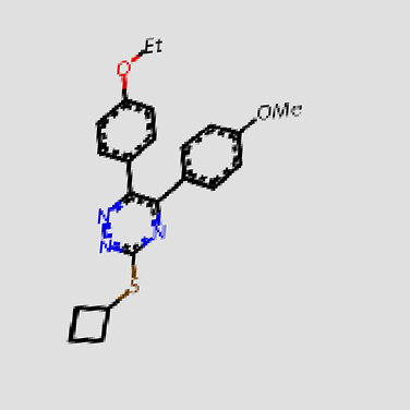 CCOc1ccc(-c2nnc(SC3CCC3)nc2-c2ccc(OC)cc2)cc1